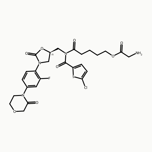 NCC(=O)OCCCCC(=O)N(C[C@H]1CN(c2ccc(N3CCOCC3=O)cc2F)C(=O)O1)C(=O)c1ccc(Cl)s1